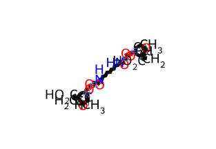 C=C(C(=O)O)[C@@H]1CC/C(COC(=O)/C=C/C(=O)NCCCCCCCCCNC(=O)/C=C/C(=O)OC/C2=C/CC[C@@]3(C)O[C@H]3C[C@H](C(=C)C(=O)O)CC2)=C\CC[C@@]2(C)O[C@H]2C1